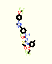 Cc1ccc(OCC(F)(F)F)c(N2C(=O)CSC2=NC(=O)Nc2ccc(-c3ncn(-c4ccc(OC(F)(F)F)cc4)n3)cc2F)c1